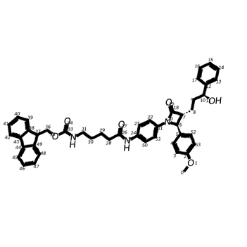 COc1ccc([C@@H]2[C@@H](CC[C@H](O)c3ccccc3)C(=O)N2c2ccc(NC(=O)CCCCNC(=O)OCC3c4ccccc4-c4ccccc43)cc2)cc1